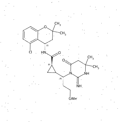 COCC[C@H](C1C[C@H]1C(=O)N[C@H]1CC(C)(C)Oc2cccc(Cl)c21)N1C(=N)NC(C)(C)CC1=O